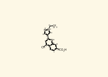 O=C(O)c1ccc2c(Cl)cc(-c3cnn(CC(F)(F)F)c3)nc2c1